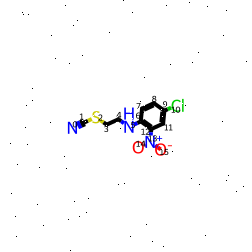 N#CSCCNc1ccc(Cl)cc1[N+](=O)[O-]